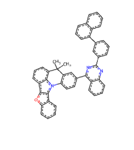 CC1(C)c2cc(-c3nc(-c4cccc(-c5cccc6ccccc56)c4)nc4ccccc34)ccc2-n2c3c1cccc3c1oc3ccccc3c12